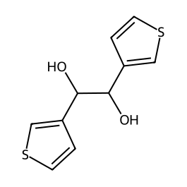 OC(c1ccsc1)C(O)c1ccsc1